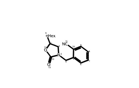 CCCCCCC1CN(Cc2ccccc2C#N)C(=O)O1